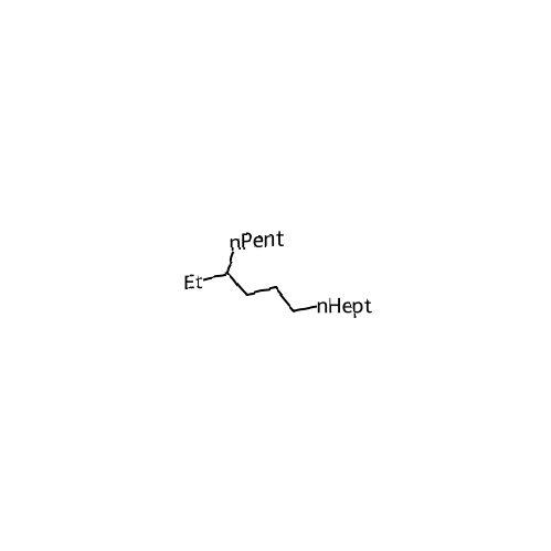 [CH2]CCCCCCCCCC(CC)CCCCC